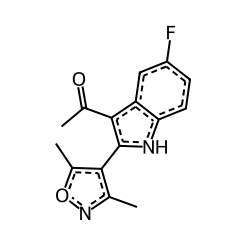 CC(=O)c1c(-c2c(C)noc2C)[nH]c2ccc(F)cc12